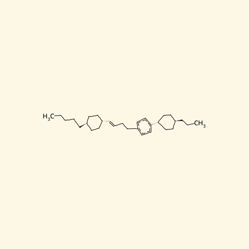 CCCCC[C@H]1CC[C@H](/C=C/CCc2ccc([C@H]3CC[C@H](CCC)CC3)cc2)CC1